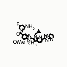 COc1cc(C(=O)N2C[C@H](N)C[C@@H](F)C2)cc2nc(-c3cc4ccc(-c5nc6ncccn6n5)nc4n3CC3CC3)n(C)c12